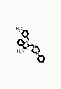 Cc1ccc(CN(CCN2CCN(c3ccccc3)CC2)c2ccccc2C(N)=O)cc1